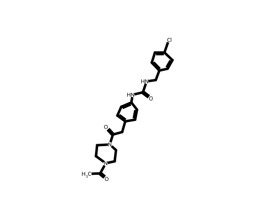 CC(=O)N1CCN(C(=O)Cc2ccc(NC(=O)NCc3ccc(Cl)cc3)cc2)CC1